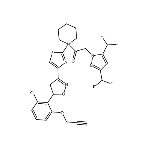 C#CCOc1cccc(Cl)c1C1CC(c2csc([N+]3(C(=O)Cn4nc(C(F)F)cc4C(F)F)CCCCC3)n2)=NO1